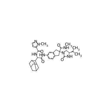 CNC(=O)C1(N2C[C@@H](C(C)C)NC2=O)Cc2ccc(NC(=O)C(NC(=O)c3ccnn3C)C3C4CC5CC(C4)CC3C5)cc2C1